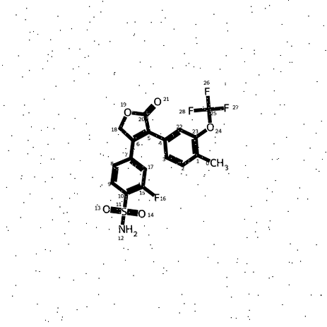 Cc1ccc(C2=C(c3ccc(S(N)(=O)=O)c(F)c3)COC2=O)cc1OC(F)(F)F